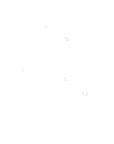 O=C1CCN(c2cnc(F)cc2CCl)C(=O)N1